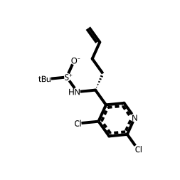 C=CCC[C@@H](N[S+]([O-])C(C)(C)C)c1cnc(Cl)cc1Cl